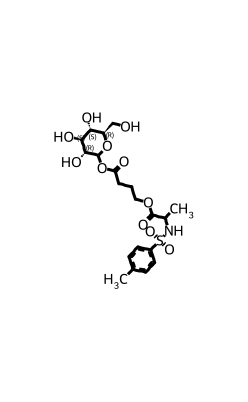 Cc1ccc(S(=O)(=O)NC(C)C(=O)OCCCC(=O)OC2O[C@H](CO)[C@@H](O)[C@H](O)[C@H]2O)cc1